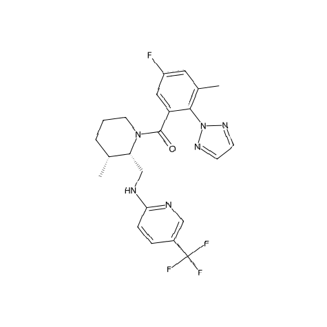 Cc1cc(F)cc(C(=O)N2CCC[C@@H](C)[C@H]2CNc2ccc(C(F)(F)F)cn2)c1-n1nccn1